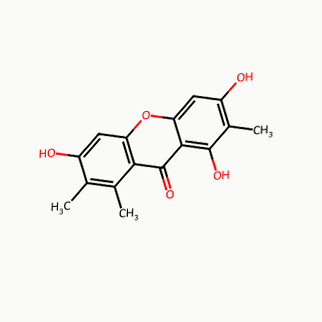 Cc1c(O)cc2oc3cc(O)c(C)c(O)c3c(=O)c2c1C